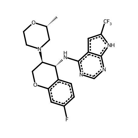 C[C@@H]1CN([C@@H]2COc3cc(F)ccc3[C@H]2Nc2ncnc3[nH]c(C(F)(F)F)cc23)CCO1